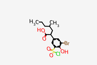 CCCC(C)CC(C(=O)O)c1cc(Br)c(O)c(S(=O)(=O)Cl)c1